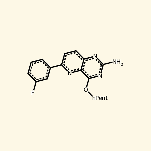 CCCCCOc1nc(N)nc2ccc(-c3cccc(F)c3)nc12